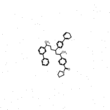 CC(CCC(CC(C)c1ccc(C(=O)N2CCCC2)cc1)c1ccc(C2=CCCC=C2)cc1)c1cccc(-c2ccccc2)c1